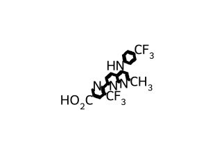 Cc1cc(Nc2ccc(C(F)(F)F)cc2)c2ccc(-c3ncc(C(=O)O)cc3C(F)(F)F)nc2n1